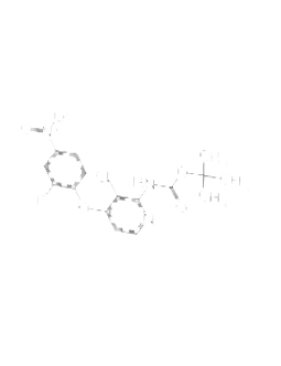 CC(C)(C)OC(=O)Nc1nccc(Oc2ccc([N+](=O)[O-])cc2F)c1Cl